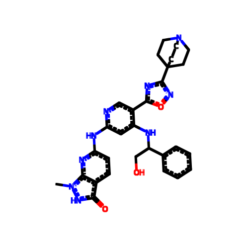 Cn1[nH]c(=O)c2ccc(Nc3cc(NC(CO)c4ccccc4)c(-c4nc(C56CCN(CC5)CC6)no4)cn3)nc21